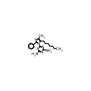 CCCCCCCc1c(C)nc(-c2ccccc2)n1-c1nc(N)nc(N)n1